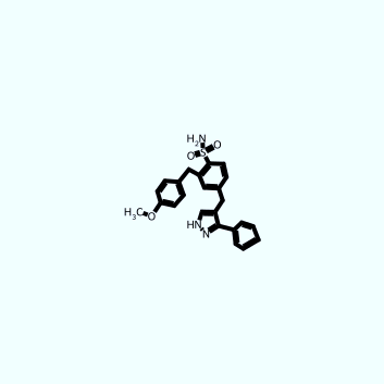 COc1ccc(Cc2cc(Cc3c[nH]nc3-c3ccccc3)ccc2S(N)(=O)=O)cc1